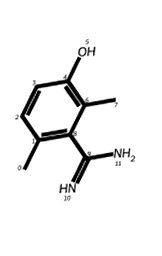 Cc1ccc(O)c(C)c1C(=N)N